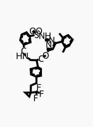 Cc1cccc(C)c1-c1cc2nc(n1)NS(=O)(=O)c1cccc(c1)CNCC(c1ccc(CCC3(C(F)(F)F)CC3)cc1)CO2